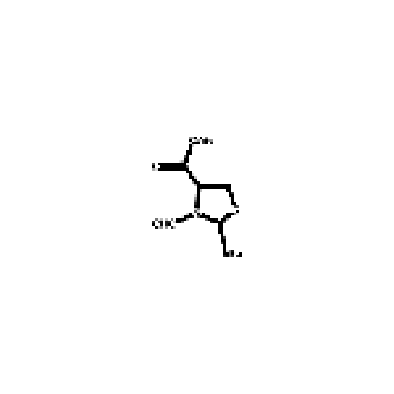 CCCCC1SCC(C(=O)OC)N1C=O